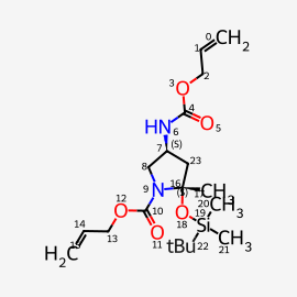 C=CCOC(=O)N[C@@H]1CN(C(=O)OCC=C)[C@@](C)(O[Si](C)(C)C(C)(C)C)C1